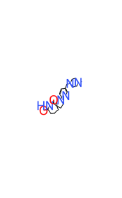 CN1CCN(Cc2ccc(N3CCC4(CCCC(=O)NC4=O)C3)nc2)CC1